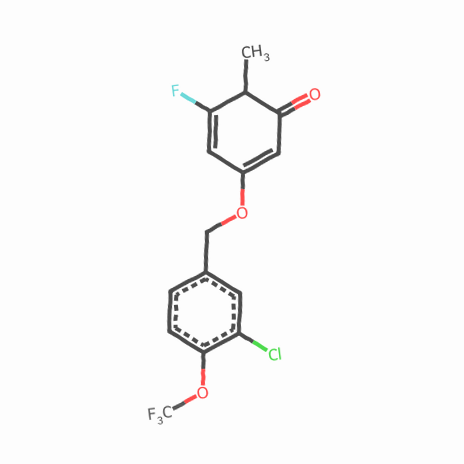 CC1C(=O)C=C(OCc2ccc(OC(F)(F)F)c(Cl)c2)C=C1F